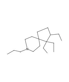 CC[C]N1CCC2(CCC(CC)C2(CC)CC)CC1